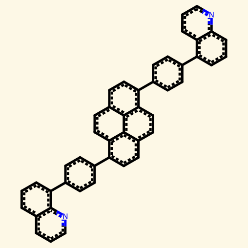 c1cnc2c(-c3ccc(-c4ccc5ccc6c(-c7ccc(-c8cccc9ncccc89)cc7)ccc7ccc4c5c76)cc3)cccc2c1